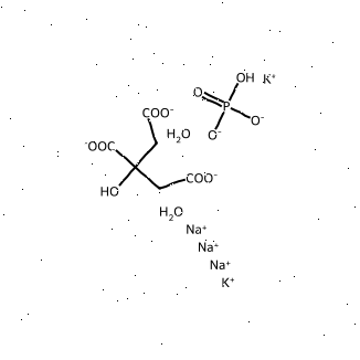 O.O.O=C([O-])CC(O)(CC(=O)[O-])C(=O)[O-].O=P([O-])([O-])O.[K+].[K+].[Na+].[Na+].[Na+]